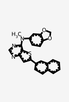 CN(c1ccc2c(c1)OCO2)c1ncnc2cc(-c3ccc4ccccc4c3)sc12